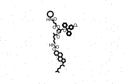 COc1ccc(C(OCC2CN(C(=O)C(C)CCCCNC(=O)OC3CC[C@@]4(C)C(CCC5C6CCC(C(C)CCCC(C)C)[C@@]6(C)CCC54)C3)CC2OC(=O)CCC(=O)NC2CCCCCCC2)(c2ccccc2)c2ccccc2)cc1